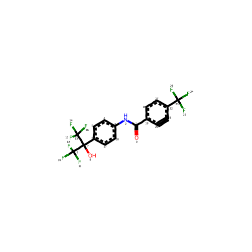 O=C(Nc1ccc(C(O)(C(F)(F)F)C(F)(F)F)cc1)c1c#cc(C(F)(F)F)cc1